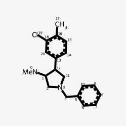 CNC1CN(Cc2ccccc2)CC1c1ccc(C)c(Cl)c1